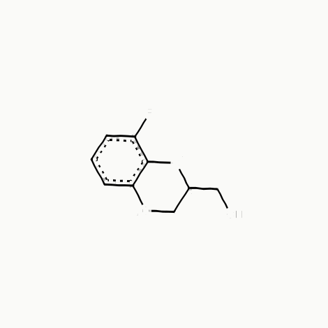 OCC1COc2cccc(F)c2O1